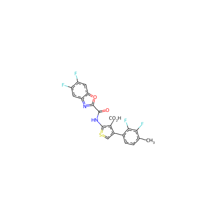 Cc1ccc(-c2csc(NC(=O)c3nc4cc(F)c(F)cc4o3)c2C(=O)O)c(F)c1F